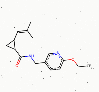 CC(C)=CC1CC1C(=O)NCc1ccc(OCC(F)(F)F)nc1